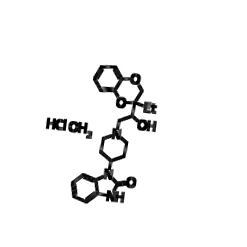 CCC1(C(O)CN2CCC(n3c(=O)[nH]c4ccccc43)CC2)COc2ccccc2O1.Cl.O